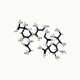 N[C@@H]1[C@@H](O)CC(OC(=O)CO)(C(=O)O)O[C@H]1C(O)C(O)CO.O=C(CO)N[C@@H]1[C@@H](O)CC(O)(C(=O)O)O[C@H]1C(O)C(O)CO